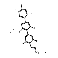 Cc1ccc(-c2cc(F)c(-c3cc(F)c(/C=C/C(F)(F)F)c(F)c3)c(F)c2)cc1